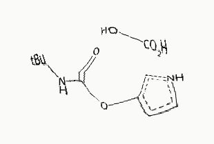 CC(C)(C)NC(=O)Oc1cc[nH]c1.O=C(O)O